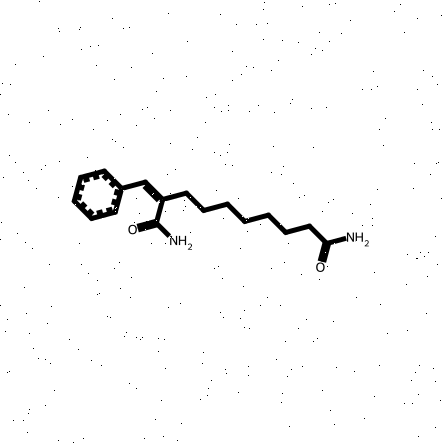 NC(=O)CCCCCCCC(=Cc1ccccc1)C(N)=O